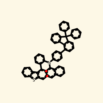 c1ccc(C2(c3ccccc3)c3ccccc3-c3c(-c4ccc(N(c5ccccc5-c5cccc6sc7ccccc7c56)c5cccc6ccccc56)cc4)cccc32)cc1